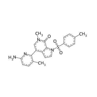 Cc1ccc(S(=O)(=O)n2ccc3c(-c4nc(N)ccc4C)cn(C)c(=O)c32)cc1